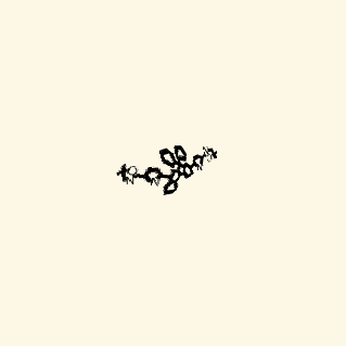 CC1(C)CN=C(c2ccc(-c3ccc4c(c3)C(c3ccccc3)(c3ccccc3)c3cc(-c5ccc(C6=NCC(C)(C)O6)cn5)c5ccccc5c3-4)nc2)O1